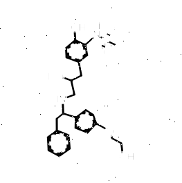 CS(=O)(=O)Nc1cc(CC(O)CNC(Cc2ccccc2)c2ccc(OCCO)cc2)ccc1O